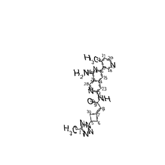 Cc1nnn(C2CC(=CC(=O)Nc3cc4cc(-c5cnccc5C)nc(N)c4cn3)C2)n1